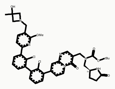 COc1nc(-c2cccc(-c3cccc(-c4ccn5c(=O)c(CN(C[C@@H]6CCC(=O)N6)C(=O)OC(C)(C)C)cnc5c4)c3Cl)c2Cl)ccc1CN1CC(C)(O)C1